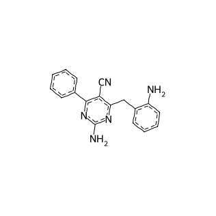 N#Cc1c(Cc2ccccc2N)nc(N)nc1-c1ccccc1